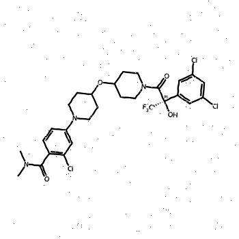 CN(C)C(=O)c1ccc(N2CCC(OC3CCN(C(=O)[C@](O)(c4cc(Cl)cc(Cl)c4)C(F)(F)F)CC3)CC2)cc1Cl